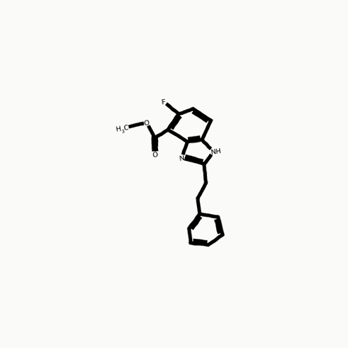 COC(=O)c1c(F)ccc2[nH]c(CCc3ccccc3)nc12